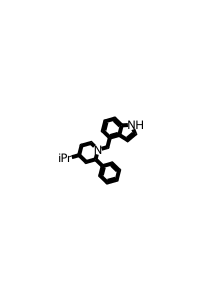 CC(C)C1CCN(Cc2cccc3[nH]ccc23)C(c2ccccc2)C1